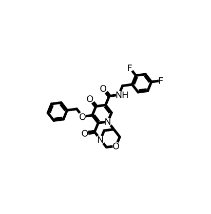 O=C(NCc1ccc(F)cc1F)c1cn2c(c(OCc3ccccc3)c1=O)C(=O)N1COCC2C1